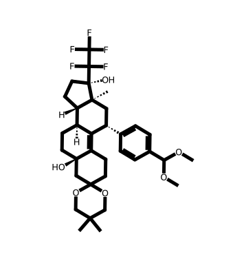 COC(OC)c1ccc([C@H]2C[C@@]3(C)[C@@H](CC[C@@]3(O)C(F)(F)C(F)(F)F)[C@@H]3CC[C@@]4(O)CC5(CCC4=C32)OCC(C)(C)CO5)cc1